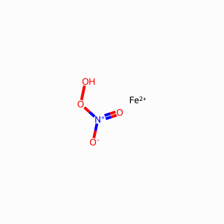 O=[N+]([O-])OO.[Fe+2]